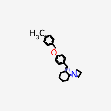 Cc1ccc(COc2ccc(/C=C3\CCCCC3N3CCC3)cc2)cc1